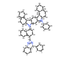 c1ccc(C2c3ccccc3N3C(c4ccc(-n5c6cc7c(cc6c6c8ccccc8ccc65)c5c6ccccc6ccc5n7-c5ccccc5)c5ccccc45)N23)cc1